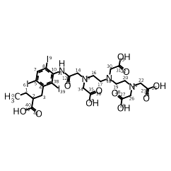 CCC(Cc1c(I)cc(I)c(NC(=O)CN(CCN(CCN(CC(=O)O)CC(=O)O)CC(=O)O)CC(=O)O)c1I)C(=O)O